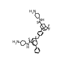 CC1(Cc2ccc(C34CC5CC(C(=S)N[C@H]6CC[C@H](N)CC6)(CC(C3)C5(F)F)C4)cc2)C2CC3(C(=S)N[C@H]4CC[C@H](N)CC4)CC1CC(c1ccccc1)(C2)C3